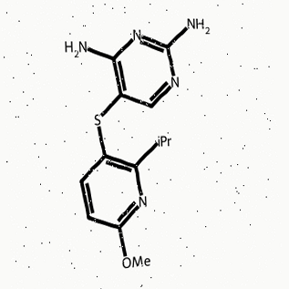 COc1ccc(Sc2cnc(N)nc2N)c(C(C)C)n1